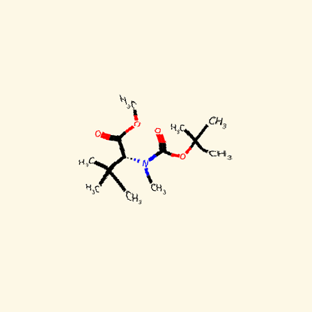 COC(=O)[C@H](N(C)C(=O)OC(C)(C)C)C(C)(C)C